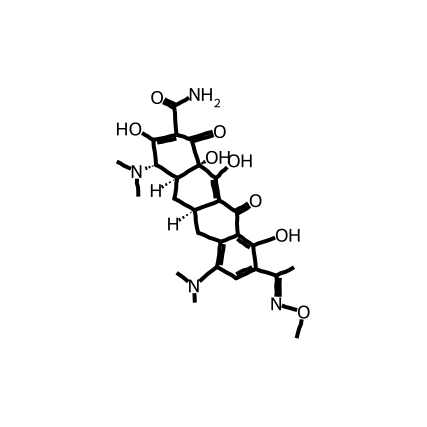 CO/N=C(\C)c1cc(N(C)C)c2c(c1O)C(=O)C1=C(O)[C@]3(O)C(=O)C(C(N)=O)=C(O)[C@@H](N(C)C)[C@@H]3C[C@@H]1C2